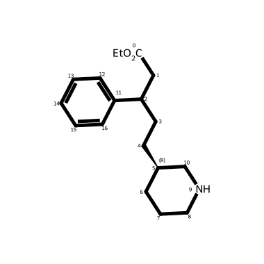 CCOC(=O)CC(CC[C@@H]1CCCNC1)c1ccccc1